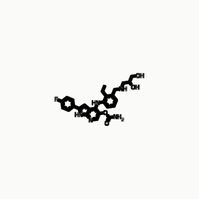 CCc1c(CNCC(O)CO)cccc1Nc1c(OC(N)=O)cnc2[nH]c(-c3ccc(F)cc3)cc12